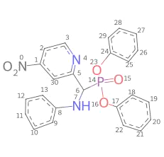 O=[N+]([O-])c1ccnc(C(Nc2ccccc2)P(=O)(Oc2ccccc2)Oc2ccccc2)c1